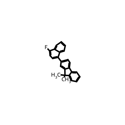 CC1(C)c2ccccc2-c2ccc(-c3ccc(F)c4ccccc34)cc21